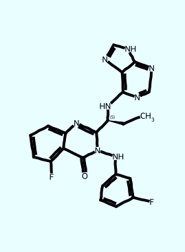 CC[C@H](Nc1ncnc2[nH]cnc12)c1nc2cccc(F)c2c(=O)n1Nc1cccc(F)c1